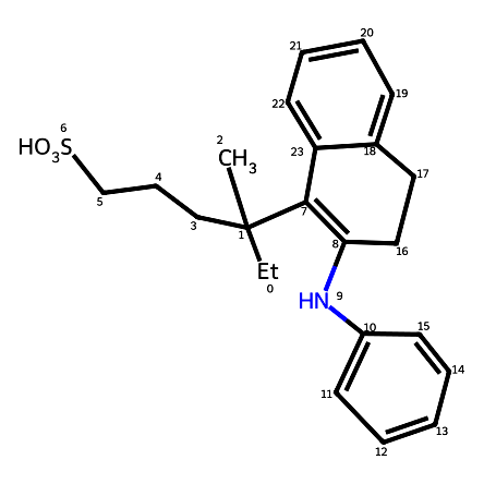 CCC(C)(CCCS(=O)(=O)O)C1=C(Nc2ccccc2)CCc2ccccc21